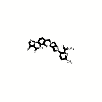 CNC(=O)c1nc(C)ccc1-n1cc2c(n1)CN(Cc1ccc3c([nH]c(=O)c4c(F)cnn43)c1F)C2